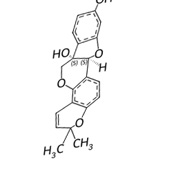 CC1(C)C=Cc2c(ccc3c2OC[C@@]2(O)c4ccc(O)cc4O[C@@H]32)O1